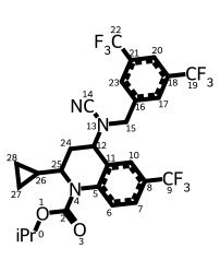 CC(C)OC(=O)N1c2ccc(C(F)(F)F)cc2C(N(C#N)Cc2cc(C(F)(F)F)cc(C(F)(F)F)c2)CC1C1CC1